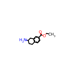 CCOC(=O)c1ccc2c(c1)CC(N)CC2